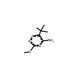 CSc1nnc(C(C)(C)C)c(N)n1